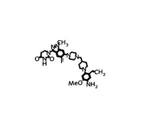 C=Cc1cc(N)c(OC)cc1N1CCC(CN2CCN(c3cc4c(cc3F)c(N3CCC(=O)NC3=O)nn4C)CC2)CC1